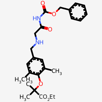 CCOC(=O)C(C)(C)Oc1c(C)cc(CNCC(=O)NC(=O)OCc2ccccc2)cc1C